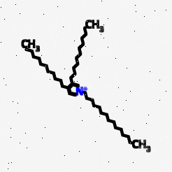 CCCCCCCCCCCCCCC[n+]1ccc(CCCCCCCCCCCC)c(CCCCCCCCCCCC)c1